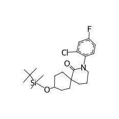 CC(C)(C)[Si](C)(C)OC1CCC2(CCCN(c3ccc(F)cc3Cl)C2=O)CC1